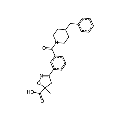 CC1(C(=O)O)CC(c2cccc(C(=O)N3CCC(Cc4ccccc4)CC3)c2)=NO1